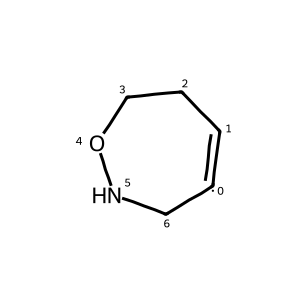 [C]1=CCCONC1